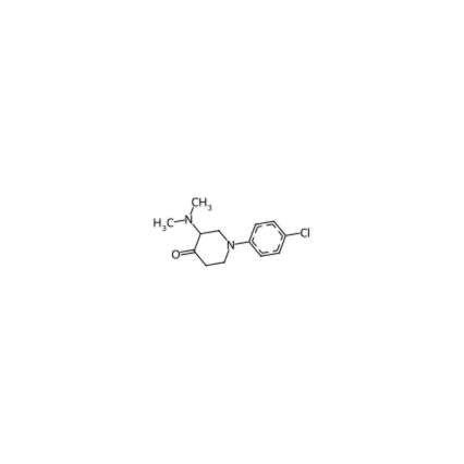 CN(C)C1CN(c2ccc(Cl)cc2)CCC1=O